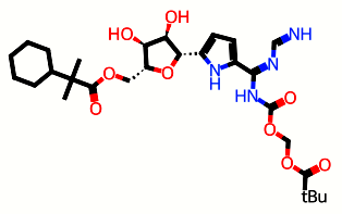 CC(C)(C)C(=O)OCOC(=O)N/C(=N/C=N)c1ccc([C@@H]2O[C@H](COC(=O)C(C)(C)C3CCCCC3)[C@@H](O)[C@H]2O)[nH]1